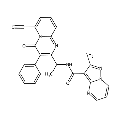 C#Cc1cccc2nc(C(C)NC(=O)c3c(N)nn4cccnc34)c(-c3ccccc3)c(=O)n12